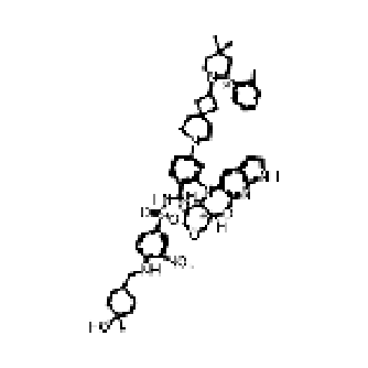 Cc1ccccc1[C@@H]1CC(C)(C)CCN1C1CC2(CCN(c3ccc(C(=O)NS(=O)(=O)c4ccc(NCC5CCC(C)(O)CC5)c([N+](=O)[O-])c4)c(N4c5cc6cc[nH]c6nc5O[C@H]5COCC[C@@H]54)c3)CC2)C1